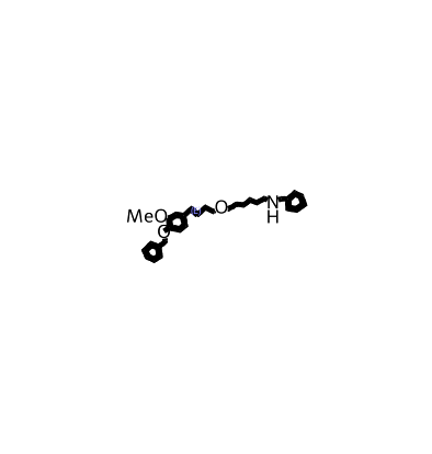 COc1cc(/C=C/CCOCCCCCCNCc2ccccc2)ccc1OCc1ccccc1